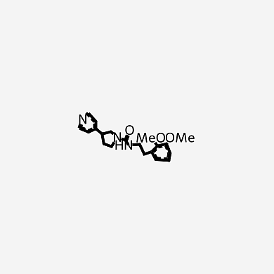 COc1cccc(CCNC(=O)N2CCC(c3ccncc3)C2)c1OC